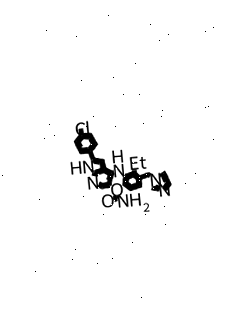 CCc1c(Cn2ccnc2)cccc1Nc1c(OC(N)=O)cnc2[nH]c(-c3ccc(Cl)cc3)cc12